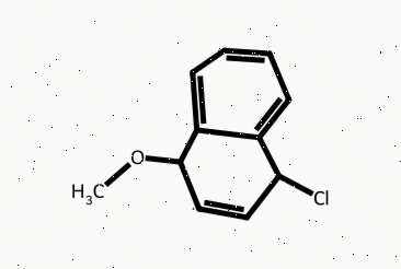 COC1[C]=CC(Cl)c2ccccc21